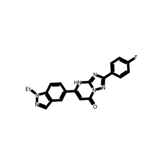 CCn1ncc2cc(-c3cc(=O)n4nc(-c5ccc(F)cc5)nc4[nH]3)ccc21